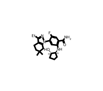 CCc1nn(-c2cc(N[C@H]3CCC[C@@H]3O)c(C(N)=O)cc2F)c2c1CCC(C)(C)C2